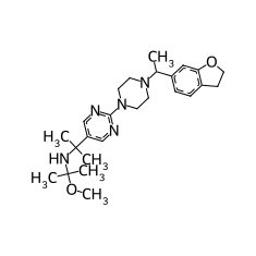 COC(C)(C)NC(C)(C)c1cnc(N2CCN(C(C)c3ccc4c(c3)OCC4)CC2)nc1